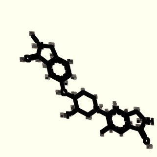 Cc1cc2c(nc1N1CCC(Oc3ccc4c(c3)C(=O)N(C)C4)C(F)C1)CNC2=O